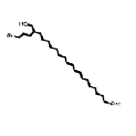 CCCCCCCCCCCCCCCCCCCCCCCCCCCCC(CO)CCCC(C)C